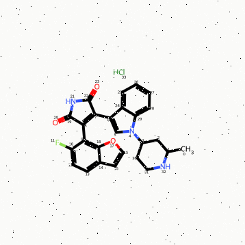 CC1CC(n2cc(C3=C(c4c(F)ccc5ccoc45)C(=O)NC3=O)c3ccccc32)CCN1.Cl